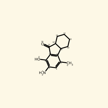 Cc1cc(N)c(O)c2c1C1CCCCC1C2=O